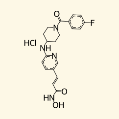 Cl.O=C(C=Cc1ccc(NC2CCN(C(=O)c3ccc(F)cc3)CC2)nc1)NO